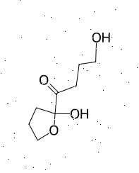 O=C(CCCO)C1(O)CCCO1